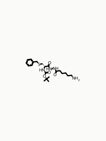 CC(C)(C)OC(=O)N[C@H](CSCc1ccccc1)C(=O)NNC(=O)CCCCCN